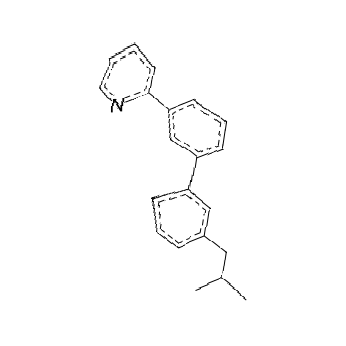 CC(C)Cc1cccc(-c2cccc(-c3ccccn3)c2)c1